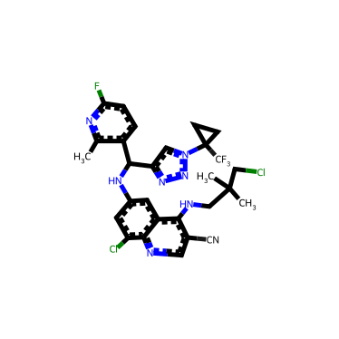 Cc1nc(F)ccc1C(Nc1cc(Cl)c2ncc(C#N)c(NCC(C)(C)CCl)c2c1)c1cn(C2(C(F)(F)F)CC2)nn1